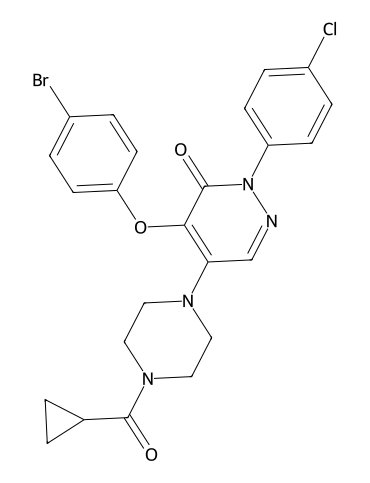 O=C(C1CC1)N1CCN(c2cnn(-c3ccc(Cl)cc3)c(=O)c2Oc2ccc(Br)cc2)CC1